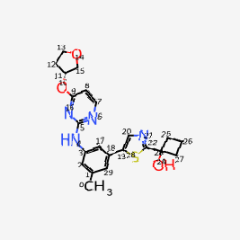 Cc1cc(Nc2nccc(O[C@@H]3CCOC3)n2)cc(-c2cnc(C3(O)CCC3)s2)c1